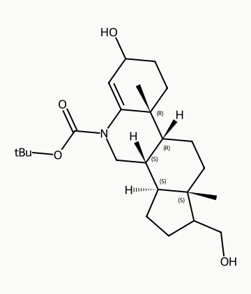 CC(C)(C)OC(=O)N1C[C@@H]2[C@@H](CC[C@]3(C)C(CO)CC[C@@H]23)[C@@]2(C)CCC(O)C=C12